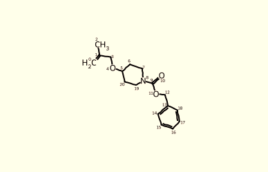 C=C(C)COC1CCN(C(=O)OCc2ccccc2)CC1